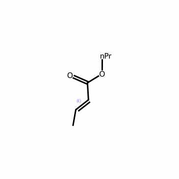 C/C=C/C(=O)OCCC